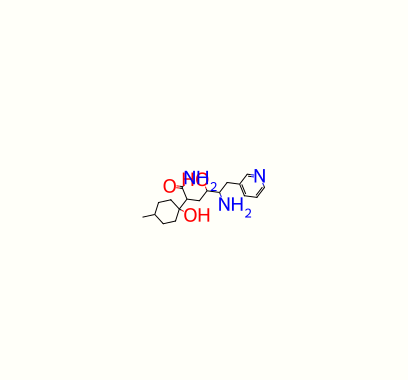 CC1CCC(O)(C(CC(O)C(N)Cc2cccnc2)C(N)=O)CC1